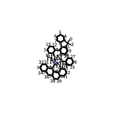 CC1(C)c2ccccc2-c2c(-c3ccccc3C/N=C(\NC(N)c3ccccc3)c3c4ccccc4cc4ccc5ccccc5c34)cccc21